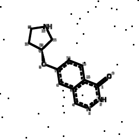 O=c1[nH]ncc2cc(O[C@H]3CCNC3)ccc12